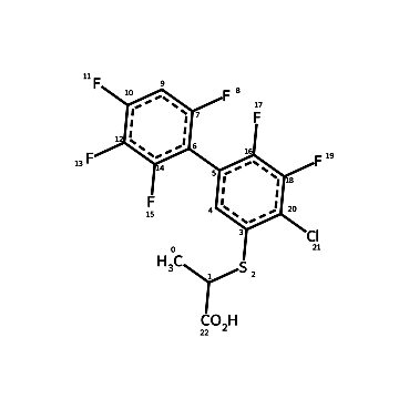 CC(Sc1cc(-c2c(F)cc(F)c(F)c2F)c(F)c(F)c1Cl)C(=O)O